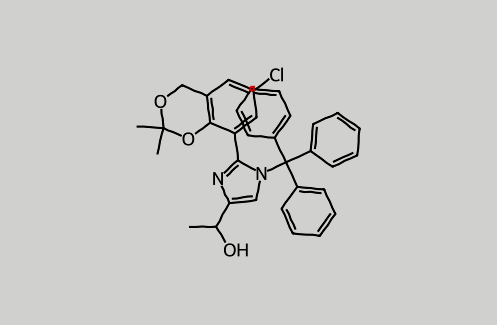 CC(O)c1cn(C(c2ccccc2)(c2ccccc2)c2ccccc2)c(-c2cc(Cl)cc3c2OC(C)(C)OC3)n1